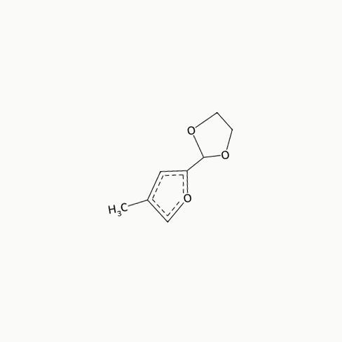 Cc1coc(C2OCCO2)c1